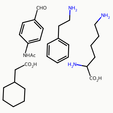 CC(=O)Nc1ccc(C=O)cc1.NCCCCC(N)C(=O)O.NCCc1ccccc1.O=C(O)CC1CCCCC1